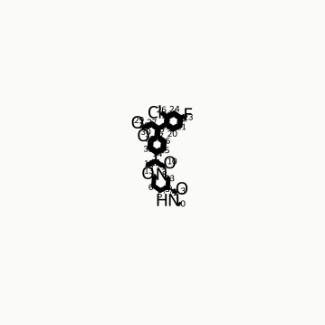 CNC(=O)[C@H]1CCCN(C(=O)[C@@H](C=O)c2ccc3c(-c4ccc(F)cc4Cl)cc(=O)oc3c2)C1